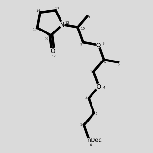 CCCCCCCCCCCCCOCC(C)OCC(C)N1CCCC1=O